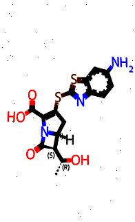 C[C@@H](O)[C@H]1C(=O)N2C(C(=O)O)=C(Sc3nc4ccc(N)cc4s3)C[C@H]12